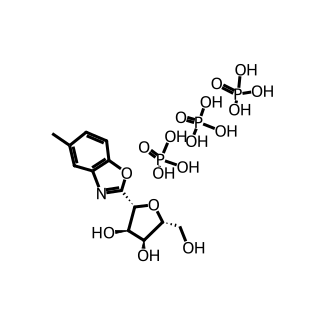 Cc1ccc2oc([C@@H]3O[C@H](CO)[C@@H](O)[C@H]3O)nc2c1.O=P(O)(O)O.O=P(O)(O)O.O=P(O)(O)O